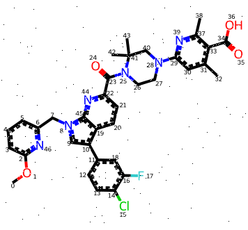 COc1cccc(Cn2cc(-c3ccc(Cl)c(F)c3)c3ccc(C(=O)N4CCN(c5cc(C)c(C(=O)O)c(C)n5)CC4(C)C)nc32)n1